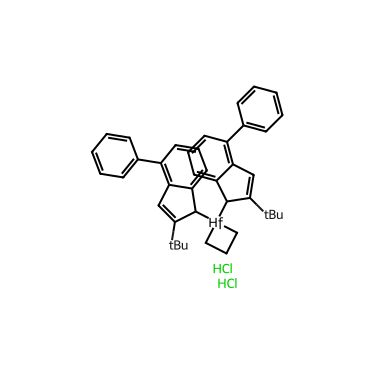 CC(C)(C)C1=Cc2c(-c3ccccc3)cccc2[CH]1[Hf]1([CH]2C(C(C)(C)C)=Cc3c(-c4ccccc4)cccc32)[CH2]C[CH2]1.Cl.Cl